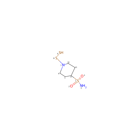 NS(=O)(=O)C1CCN(SS)CC1